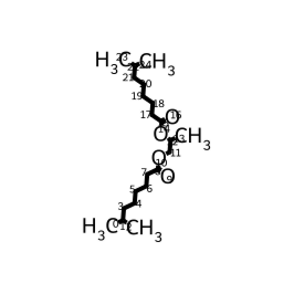 CC(C)CCCCCC(=O)OCC(C)OC(=O)CCCCCC(C)C